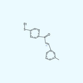 CCSc1ccc(C(=O)/C=C/c2cccc(C)c2)cc1